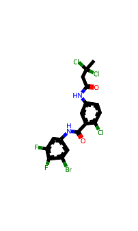 CC(Cl)(Cl)CC(=O)Nc1ccc(Cl)c(C(=O)Nc2cc(F)c(F)c(Br)c2)c1